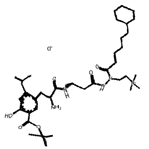 CC(C)c1cc(O)c(C(=O)OC(C)(C)C)cc1CC(N)C(=O)NCCC(=O)NN(CC[N+](C)(C)C)C(=O)CCCCCC1CCCCC1.[Cl-]